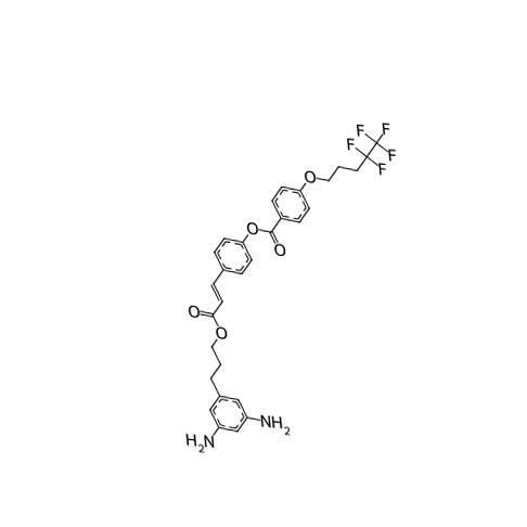 Nc1cc(N)cc(CCCOC(=O)/C=C/c2ccc(OC(=O)c3ccc(OCCCC(F)(F)C(F)(F)F)cc3)cc2)c1